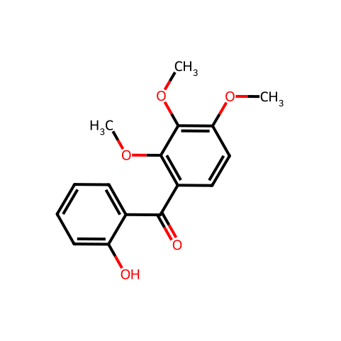 COc1ccc(C(=O)c2ccccc2O)c(OC)c1OC